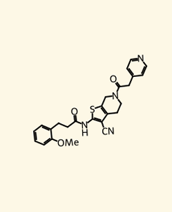 COc1ccccc1CCC(=O)Nc1sc2c(c1C#N)CCN(C(=O)Cc1ccncc1)C2